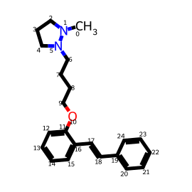 CN1CCCN1CCCCOc1ccccc1/C=C/c1ccccc1